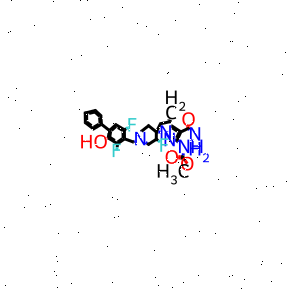 C=CCC1(n2cc(C(N)=O)c(NC(=O)OC)n2)CCN(Cc2c(F)cc(-c3ccccc3)c(O)c2F)CC1F